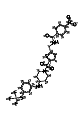 O=C(NCc1ccc(S(=O)(=O)N2CCC(Nc3cccc(SC(F)(F)F)c3)CC2)s1)c1ccc([N+](=O)[O-])cc1